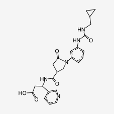 O=C(O)CC(NC(=O)C1CC(=O)N(c2cccc(NC(=O)NCC3CC3)c2)C1)c1cccnc1